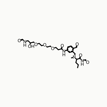 CCCC(C(=O)NC=O)N(C)Cc1cc(NC(=O)CCOCCOCCOCC(O)CNC=O)ccc1C=O